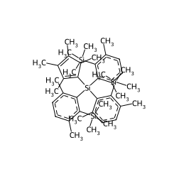 CC1=C(C)C(C)C([Si](c2c(C)ccc(C)c2[Si](C)(C)C)(c2c(C)ccc(C)c2[Si](C)(C)C)c2c(C)ccc(C)c2[Si](C)(C)C)=C1C